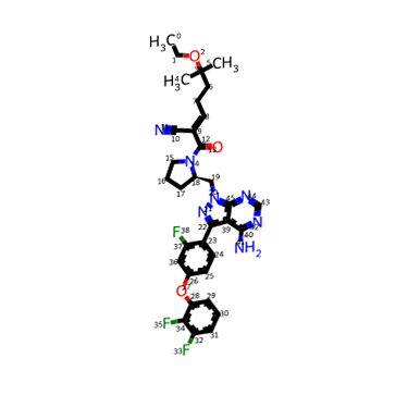 CCOC(C)(C)CC/C=C(\C#N)C(=O)N1CCC[C@@H]1Cn1nc(-c2ccc(Oc3cccc(F)c3F)cc2F)c2c(N)ncnc21